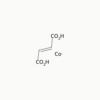 O=C(O)C=CC(=O)O.[Co]